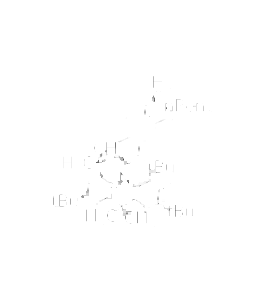 C/C=C(\C=C/CCCCC)Cc1ccc2c(c1)C(C)(C)c1cc(C(C)(C)C)cc3c1N2c1c(C(C)(C)C)cc(C(C)(C)C)cc1C3(C)C